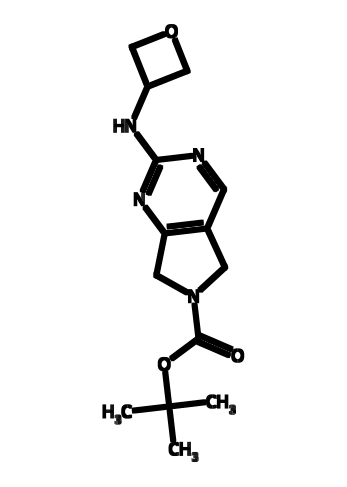 CC(C)(C)OC(=O)N1Cc2cnc(NC3COC3)nc2C1